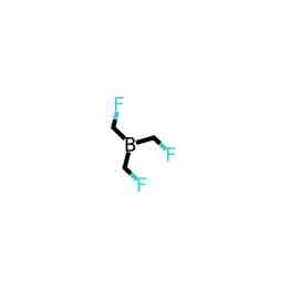 FCB(CF)CF